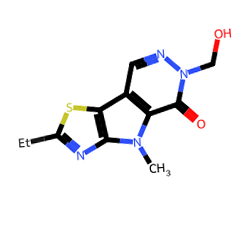 CCc1nc2c(s1)c1cnn(CO)c(=O)c1n2C